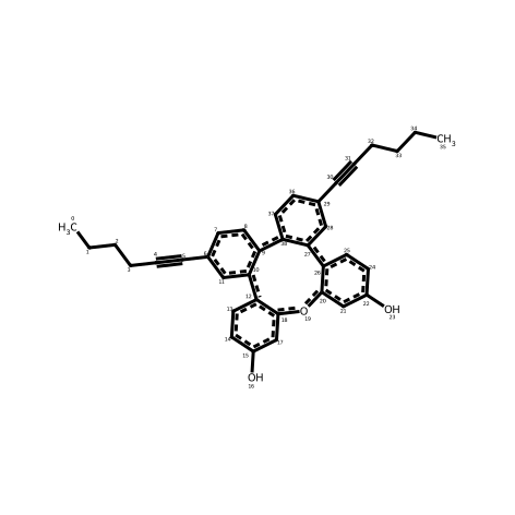 CCCCC#Cc1ccc2c(c1)c1ccc(O)cc1oc1cc(O)ccc1c1cc(C#CCCCC)ccc12